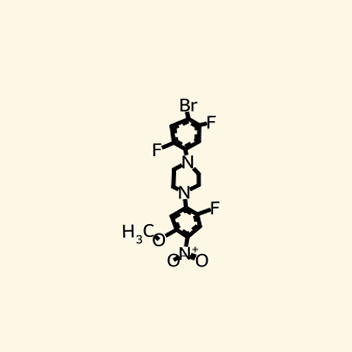 COc1cc(N2CCN(c3cc(F)c(Br)cc3F)CC2)c(F)cc1[N+](=O)[O-]